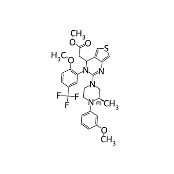 COC(=O)CC1c2cscc2N=C(N2CCN(c3cccc(OC)c3)[C@H](C)C2)N1c1cc(C(F)(F)F)ccc1OC